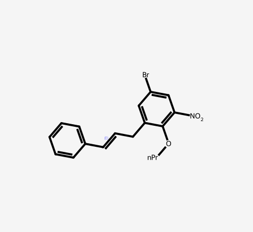 CCCOc1c(C/C=C/c2ccccc2)cc(Br)cc1[N+](=O)[O-]